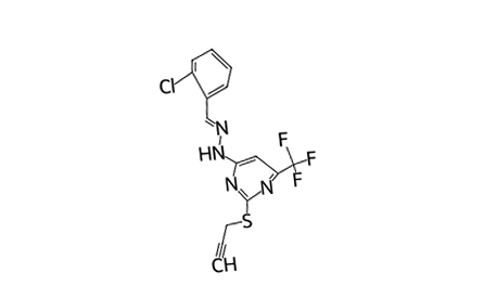 C#CCSc1nc(N/N=C/c2ccccc2Cl)cc(C(F)(F)F)n1